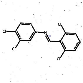 Clc1ccc(/N=C/c2c(Cl)cccc2Cl)cc1Cl